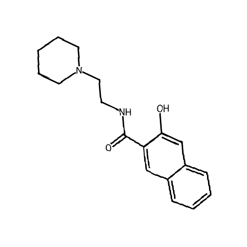 O=C(NCCN1CCCCC1)c1cc2ccccc2cc1O